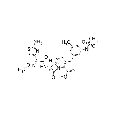 CON=C(C(=O)N[C@@H]1C(=O)N2C(C(=O)O)=C(Cc3cc(C)cc(NS(C)(=O)=O)c3)CS[C@H]12)c1csc(N)n1